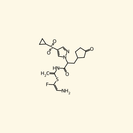 C=C(NC(=O)C(CC1CCC(=O)C1)n1cc(S(=O)(=O)C2CC2)cn1)S/C(F)=C\N